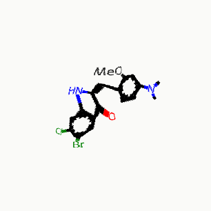 COc1cc(N(C)C)ccc1C=C1Nc2cc(Cl)c(Br)cc2C1=O